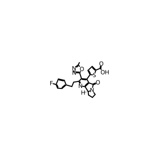 Cc1nnc(-c2c(CCc3ccc(F)cc3)nc3c(c2-c2ccc(C(=O)O)s2)C(=O)N2CCC[C@@H]32)o1